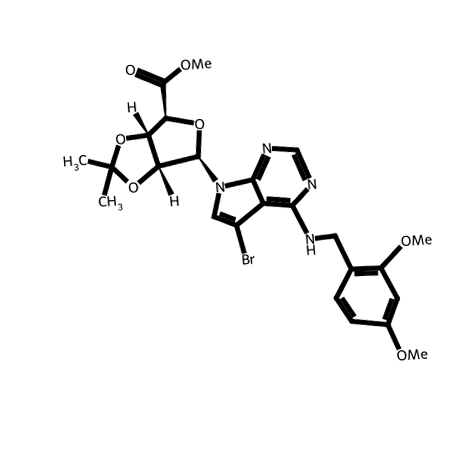 COC(=O)[C@H]1O[C@@H](n2cc(Br)c3c(NCc4ccc(OC)cc4OC)ncnc32)[C@@H]2OC(C)(C)O[C@@H]21